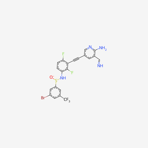 N=Cc1cc(C#Cc2c(F)ccc(N[S+]([O-])c3cc(Br)cc(C(F)(F)F)c3)c2F)cnc1N